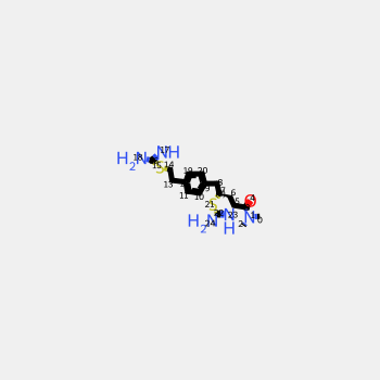 CN(C)C(=O)CC[C@H](Cc1ccc(CCSC(=N)N)cc1)SC(=N)N